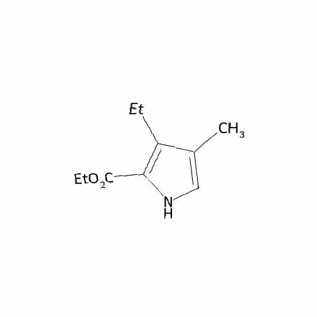 CCOC(=O)c1[nH]cc(C)c1CC